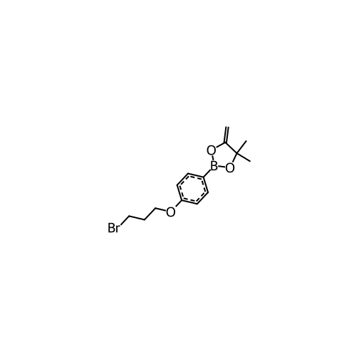 C=C1OB(c2ccc(OCCCBr)cc2)OC1(C)C